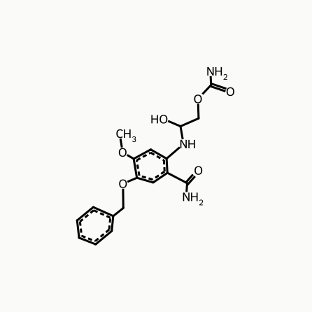 COc1cc(NC(O)COC(N)=O)c(C(N)=O)cc1OCc1ccccc1